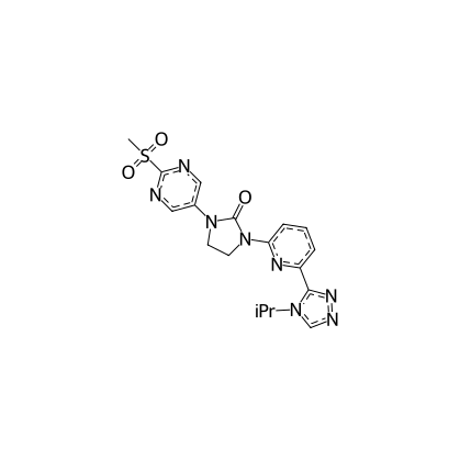 CC(C)n1cnnc1-c1cccc(N2CCN(c3cnc(S(C)(=O)=O)nc3)C2=O)n1